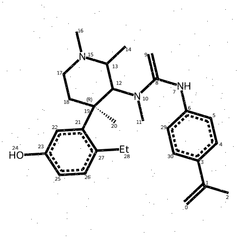 C=C(C)c1ccc(NC(=C)N(C)C2C(C)N(C)CC[C@]2(C)c2cc(O)ccc2CC)cc1